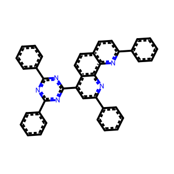 c1ccc(-c2ccc3ccc4c(-c5nc(-c6ccccc6)nc(-c6ccccc6)n5)cc(-c5ccccc5)nc4c3n2)cc1